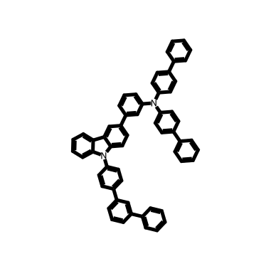 c1ccc(-c2ccc(N(c3ccc(-c4ccccc4)cc3)c3cccc(-c4ccc5c(c4)c4ccccc4n5-c4ccc(-c5cccc(-c6ccccc6)c5)cc4)c3)cc2)cc1